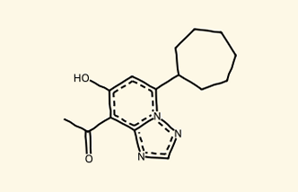 CC(=O)c1c(O)cc(C2CCCCCC2)n2ncnc12